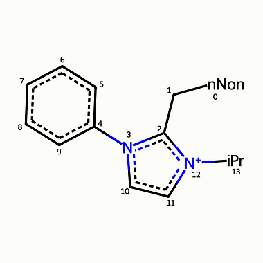 CCCCCCCCCCc1n(-c2ccccc2)cc[n+]1C(C)C